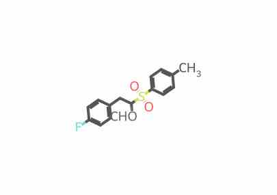 Cc1ccc(S(=O)(=O)C(C=O)Cc2ccc(F)cc2)cc1